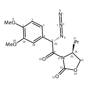 COc1ccc([C@H](N=[N+]=[N-])C(=O)N2C(=O)OC[C@@H]2C(C)C)cc1OC